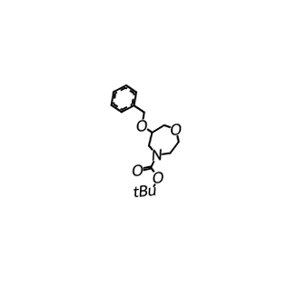 CC(C)(C)OC(=O)N1CCOCC(OCc2ccccc2)C1